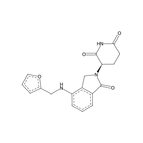 O=C1CC[C@@H](N2Cc3c(NCc4ccco4)cccc3C2=O)C(=O)N1